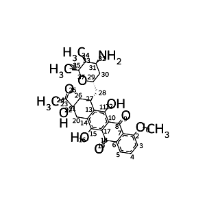 COc1cccc2c1C(=O)c1c(O)c3c(c(O)c1C2=O)C[C@@](O)(C(C)=O)C[C@@H]3C[C@H]1C[C@H](N)[C@H](C)[C@H](C)O1